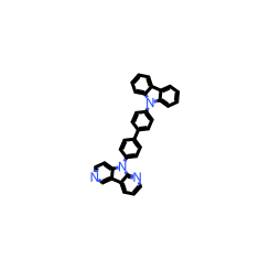 c1ccc2c(c1)c1ccccc1n2-c1ccc(-c2ccc(-n3c4ccncc4c4cccnc43)cc2)cc1